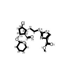 COC(=O)c1csc(SCC[C@@H]2[C@@H](C=O)[C@H](OC3CCCCO3)C[C@H]2Cl)n1